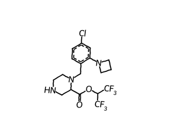 O=C(OC(C(F)(F)F)C(F)(F)F)C1CNCCN1Cc1ccc(Cl)cc1N1CCC1